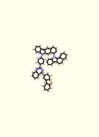 c1cc(-n2c3ccccc3c3ccc4ccccc4c32)c2cc3c(cc2c1)c1ccccc1n3-c1ccc(-c2nc(-c3ccc4sc5ccccc5c4c3)c3ccccc3n2)cc1